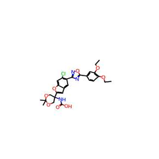 CCOc1ccc(-c2nc(-c3cc4cc(C5(NC(=O)O)COC(C)(C)OC5)oc4cc3Cl)no2)cc1OCC